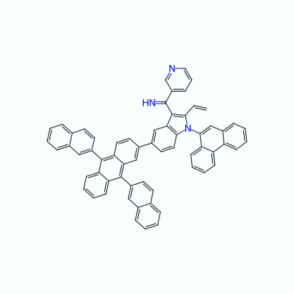 C=Cc1c(C(=N)c2cccnc2)c2cc(-c3ccc4c(-c5ccc6ccccc6c5)c5ccccc5c(-c5ccc6ccccc6c5)c4c3)ccc2n1-c1cc2ccccc2c2ccccc12